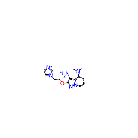 CN(C)c1cccn2nc(OCCn3cc[n+](C)c3)c(N)c12